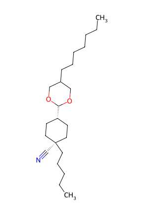 CCCCCCCC1COC([C@H]2CC[C@](C#N)(CCCCC)CC2)OC1